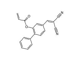 C=CC(=O)Oc1cc(C=C(C#N)C#N)ccc1-c1ccccc1